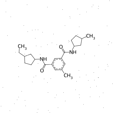 CCC1CCC(NC(=O)c2cc(C)cc(C(=O)NC3CCC(C)C3)c2)C1